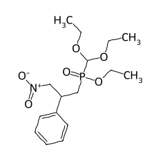 CCOC(OCC)P(=O)(CC(C[N+](=O)[O-])c1ccccc1)OCC